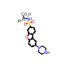 CC(C)[C@H](NS(=O)(=O)c1ccc2c(c1)oc1ccc(N3CCNCC3)cc12)C(=O)O